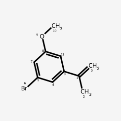 C=C(C)c1cc(Br)cc(OC)c1